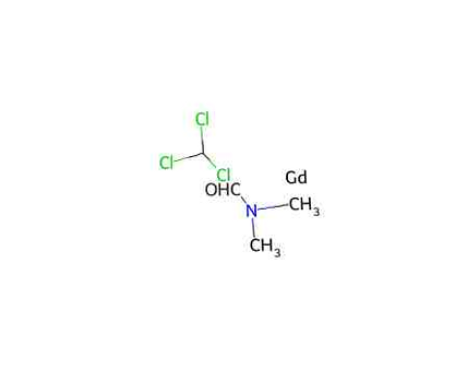 CN(C)C=O.ClC(Cl)Cl.[Gd]